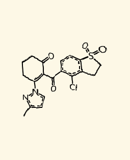 Cc1ccn(C2=C(C(=O)c3ccc4c(c3Cl)CCS4(=O)=O)C(=O)CCC2)n1